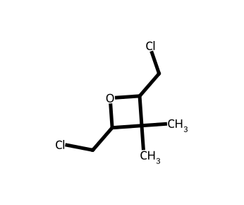 CC1(C)C(CCl)OC1CCl